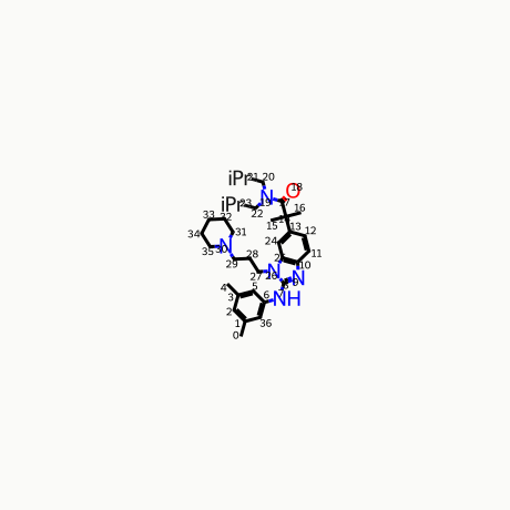 Cc1cc(C)cc(Nc2nc3ccc(C(C)(C)C(=O)N(CC(C)C)CC(C)C)cc3n2CCCN2CCCCC2)c1